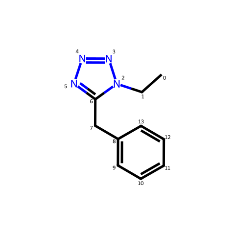 CCn1nnnc1Cc1ccccc1